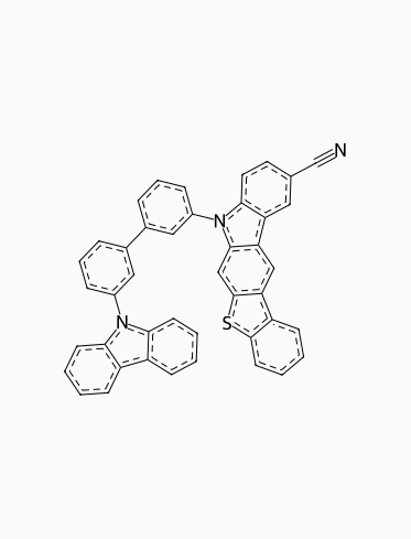 N#Cc1ccc2c(c1)c1cc3c(cc1n2-c1cccc(-c2cccc(-n4c5ccccc5c5ccccc54)c2)c1)sc1ccccc13